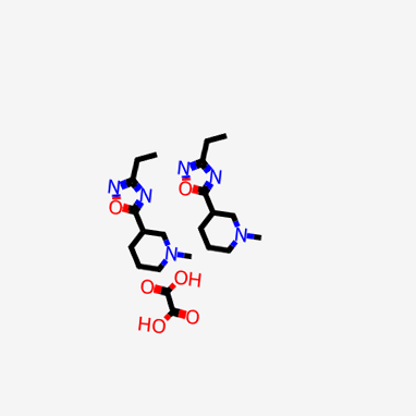 CCc1noc(C2CCCN(C)C2)n1.CCc1noc(C2CCCN(C)C2)n1.O=C(O)C(=O)O